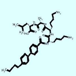 CCCCc1ccc(-c2ccc(C(=O)N[C@@H](CCCCN)C(=O)N[C@@H](CCCCN)C(=O)N[C@@H](C)C(=O)N[C@@H](CC(C)C)C(=O)O)cc2)cc1